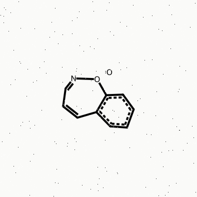 C1=Cc2ccccc2ON=C1.[O]